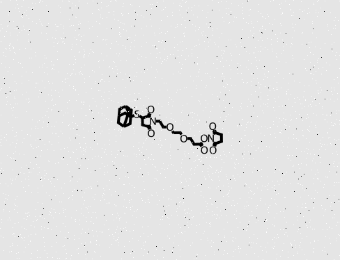 O=C(CCOCCOCCN1C(=O)CC(SC23CC4CC(CC(C4)C2)C3)C1=O)ON1C(=O)CCC1=O